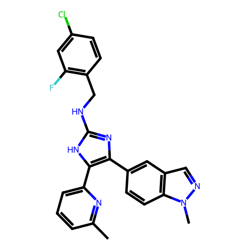 Cc1cccc(-c2[nH]c(NCc3ccc(Cl)cc3F)nc2-c2ccc3c(cnn3C)c2)n1